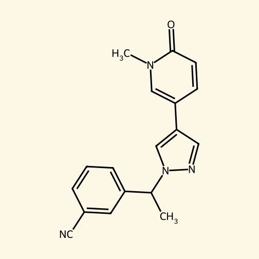 CC(c1cccc(C#N)c1)n1cc(-c2ccc(=O)n(C)c2)cn1